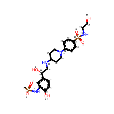 CS(=O)(=O)Nc1cc([C@H](O)CNC2CCN(c3ccc(S(=O)(=O)NCCO)cc3)CC2)ccc1O